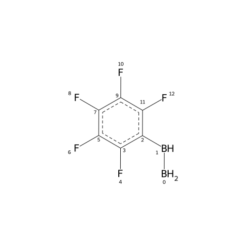 BBc1c(F)c(F)c(F)c(F)c1F